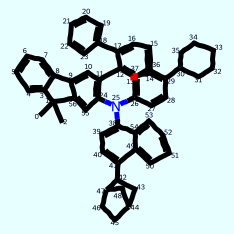 CC1(C)c2ccccc2-c2cc(-c3ccccc3-c3ccccc3)c(N(c3ccc(C4CCCCC4)cc3)c3ccc(C4CC5CCC4C5)c4ccccc34)cc21